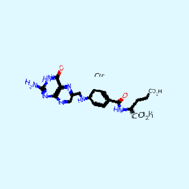 Nc1nc2ncc(CNc3ccc(C(=O)NC(CCC(=O)O)C(=O)O)cc3)nc2c(=O)[nH]1.[Cu]